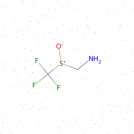 NC[S+]([O-])C(F)(F)F